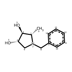 C[C@H]1[C@H](O)[C@@H](O)CN1Cc1ccccc1